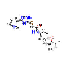 Cc1ccccc1Oc1ccc(NC(=O)CSc2nc(-c3cccnc3)n[nH]2)cc1C(C)C